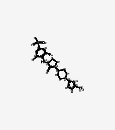 CS(=O)(=O)c1cc(F)c(N[C@H]2CCN(C3CCN(c4nc(C(F)(F)F)no4)CC3)C2=O)c(F)c1